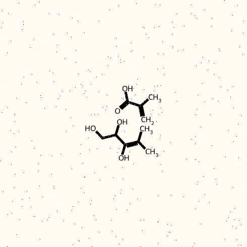 C=C(C)C(=O)O.CC(C)=C(O)C(O)CO